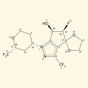 O[C@@H]1c2c(c(C(F)(F)F)nn2[C@H]2CCO[C@@H](C(F)(F)F)C2)C2(OCCO2)[C@@H]1F